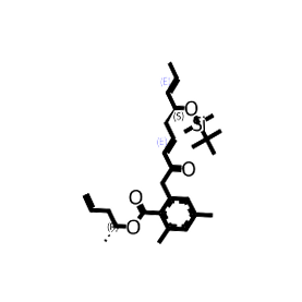 C=CC[C@@H](C)OC(=O)c1c(C)cc(C)cc1CC(=O)/C=C/C[C@@H](/C=C/C)O[Si](C)(C)C(C)(C)C